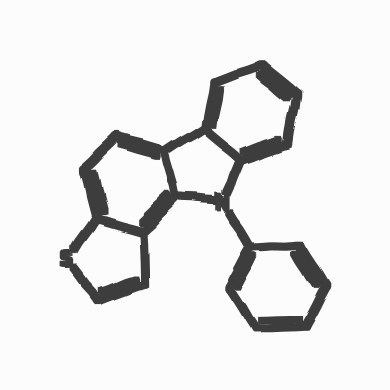 c1ccc(-n2c3ccccc3c3ccc4sccc4c32)cc1